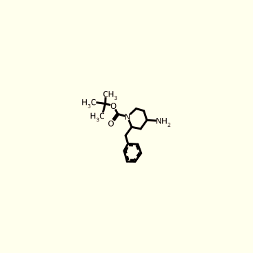 CC(C)(C)OC(=O)N1CCC(N)CC1Cc1ccccc1